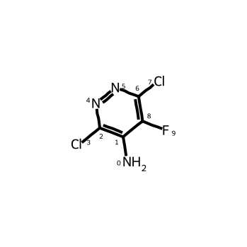 Nc1c(Cl)nnc(Cl)c1F